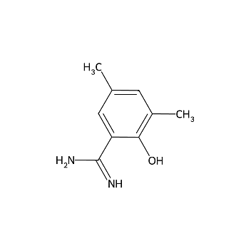 Cc1cc(C)c(O)c(C(=N)N)c1